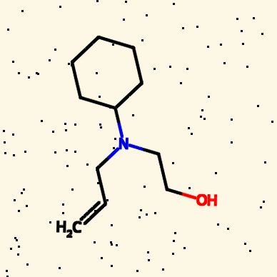 C=CCN(CCO)C1CCCCC1